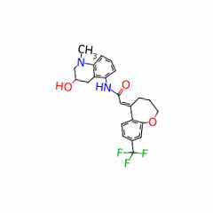 CN1CC(O)Cc2c(NC(=O)/C=C3\CCCOc4cc(C(F)(F)F)ccc43)cccc21